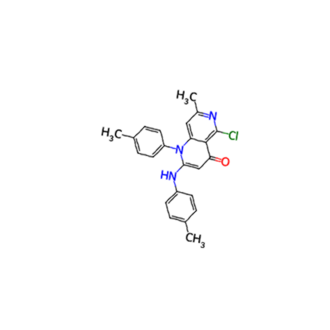 Cc1ccc(Nc2cc(=O)c3c(Cl)nc(C)cc3n2-c2ccc(C)cc2)cc1